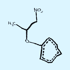 CC(C[N+](=O)[O-])Oc1ccccc1